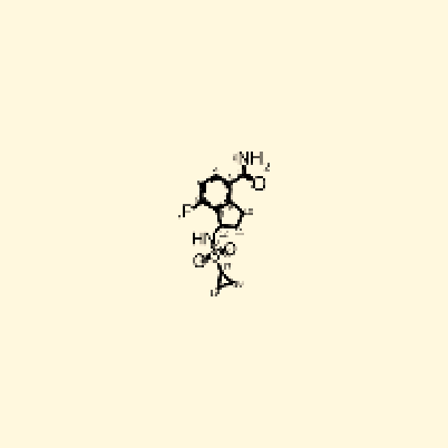 NC(=O)c1ccc(F)c2c1CCC2NS(=O)(=O)C1CC1